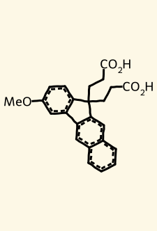 COc1ccc2c(c1)-c1cc3ccccc3cc1C2(CCC(=O)O)CCC(=O)O